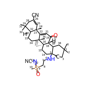 CC1(C)CC[C@]2(NCCS(C)(=O)=NC#N)CC[C@]3(C)[C@H](C(=O)C=C4[C@@]5(C)C=C(C#N)CC(C)(C)[C@@H]5CC[C@]43C)C2C1